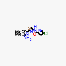 COC[C@H](/N=C(/N)OC)c1nc(NC(=O)c2ccc(Cl)cn2)cs1